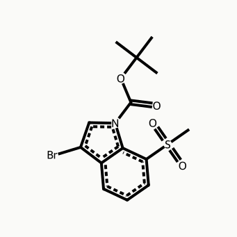 CC(C)(C)OC(=O)n1cc(Br)c2cccc(S(C)(=O)=O)c21